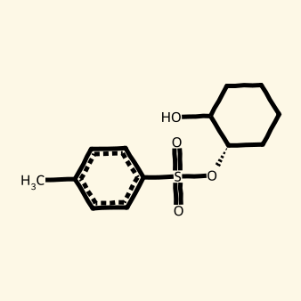 Cc1ccc(S(=O)(=O)O[C@H]2CCCCC2O)cc1